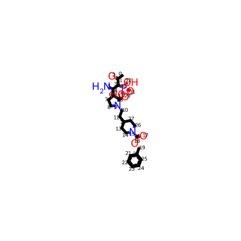 CC(=O)C(C(N)C1CCN(CCC2CCN(C(=O)OCc3ccccc3)CC2)C1=O)P(=O)(O)O